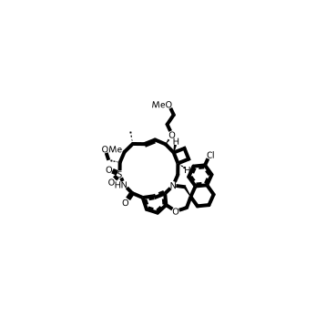 COCCO[C@H]1/C=C/[C@@H](C)C[C@@H](COC)S(=O)(=O)NC(=O)c2ccc3c(c2)N(C[C@@H]2CC[C@H]21)C[C@@]1(CCCc2cc(Cl)ccc21)CO3